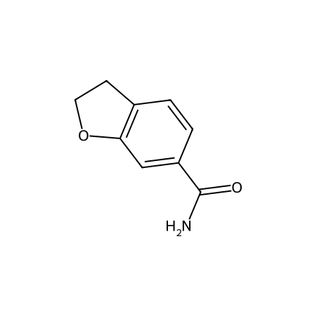 NC(=O)c1ccc2c(c1)OCC2